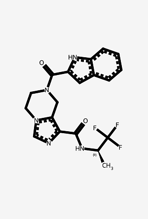 C[C@@H](NC(=O)c1ncn2c1CN(C(=O)c1cc3ccccc3[nH]1)CC2)C(F)(F)F